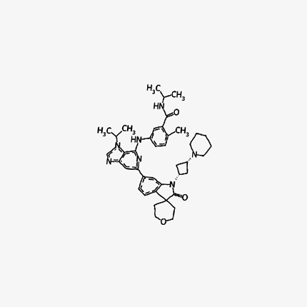 Cc1ccc(Nc2nc(-c3ccc4c(c3)N([C@H]3C[C@@H](N5CCCCC5)C3)C(=O)C43CCOCC3)cc3ncn(C(C)C)c23)cc1C(=O)NC(C)C